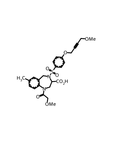 COCC#CCOc1ccc(S(=O)(=O)N2Cc3cc(C)ccc3N(C(=O)COC)CC2C(=O)O)cc1